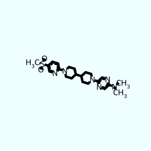 CN(C)c1cnc(N2CCC(C3CCN(c4ccc(S(C)(=O)=O)cn4)CC3)CC2)cn1